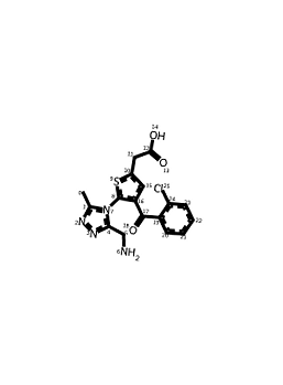 Cc1nnc(CN)n1-c1sc(CC(=O)O)cc1C(=O)c1ccccc1Cl